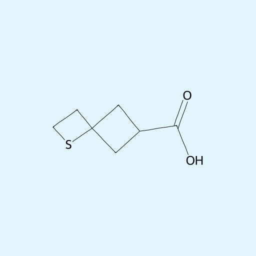 O=C(O)C1CC2(CCS2)C1